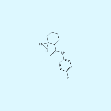 O=C(Nc1ccc(F)cc1)C1CCCCC12NN2